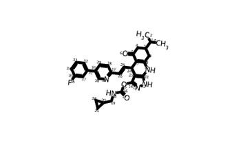 CC(C)C1CC(=O)C2=C(C1)Nc1[nH]nc(OC(=O)NCC3CC3)c1C2/C=C/c1ccc(-c2cccc(F)c2)cn1